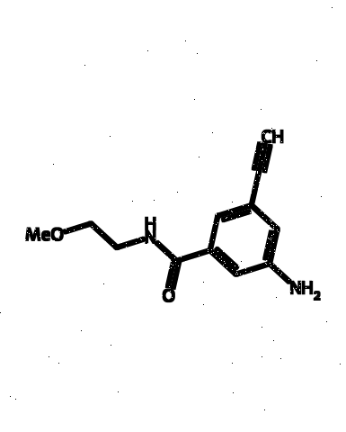 C#Cc1cc(N)cc(C(=O)NCCOC)c1